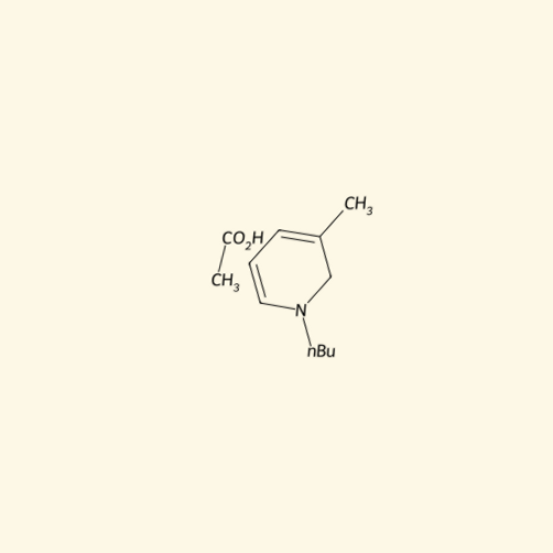 CC(=O)O.CCCCN1C=CC=C(C)C1